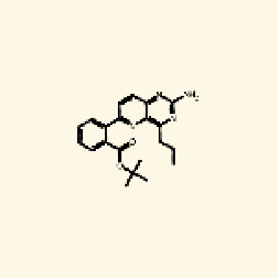 CCCc1nc(N)nc2ccc(-c3ccccc3C(=O)OC(C)(C)C)nc12